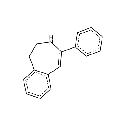 C1=C(c2ccccc2)NCCc2ccccc21